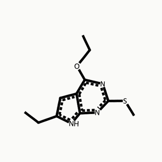 CCOc1nc(SC)nc2[nH]c(CC)cc12